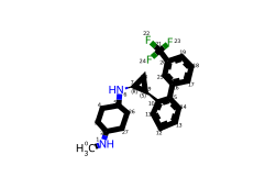 CNC1CCC(N[C@@H]2C[C@H]2c2ccccc2-c2cccc(C(F)(F)F)c2)CC1